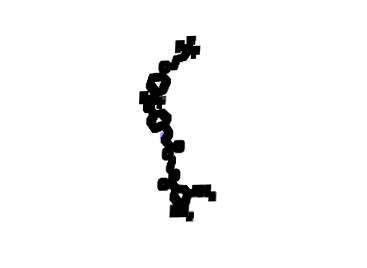 Nc1cc(N)cc(C(=O)OCCOC(=O)/C=C/c2ccc(OC(F)(F)c3ccc(OCCCC(F)(F)F)cc3)cc2)c1